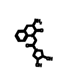 NC1Cc2ccccc2N(CC(=O)N2CC(O)C(O)C2)C1=O